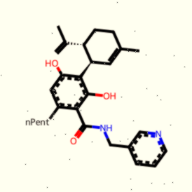 C=C(C)[C@@H]1CCC(C)=C[C@H]1c1c(O)cc(CCCCC)c(C(=O)NCc2cccnc2)c1O